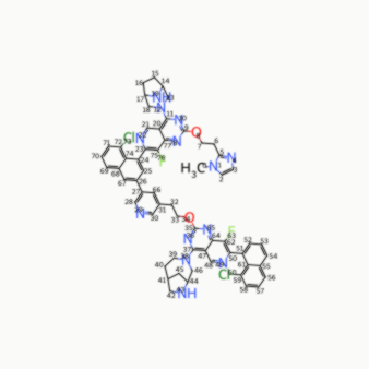 Cn1ccnc1CCOc1nc(N2CC3CCC(C2)N3)c2cnc(-c3cc(-c4cncc(CCOc5nc(N6CCC7CNC(C7)C6)c6cnc(-c7cccc8cccc(Cl)c78)c(F)c6n5)c4)cc4cccc(Cl)c34)c(F)c2n1